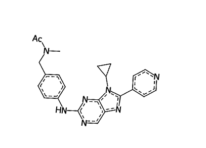 CC(=O)N(C)Cc1ccc(Nc2ncc3nc(-c4ccncc4)n(C4CC4)c3n2)cc1